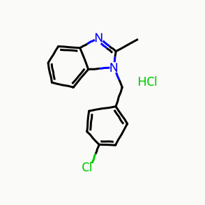 Cc1nc2ccccc2n1Cc1ccc(Cl)cc1.Cl